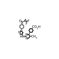 Cc1cnc(Nc2cnn(C3CCN(C(=O)C4CC4(F)F)CC3)c2)nc1-c1ccc(C(=O)O)cc1